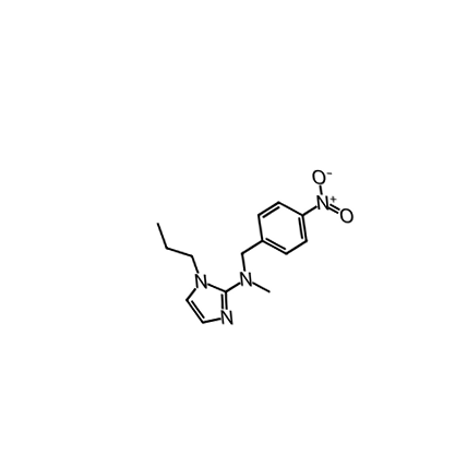 CCCn1ccnc1N(C)Cc1ccc([N+](=O)[O-])cc1